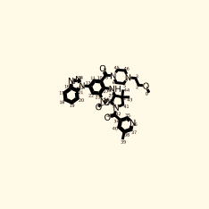 COCCN1CCN(C(=O)c2cc(-n3nnc4ccccc43)cc([N+](=O)[O-])c2NC2CN(C(=O)c3cncc(C)c3)CC2(C)C)CC1